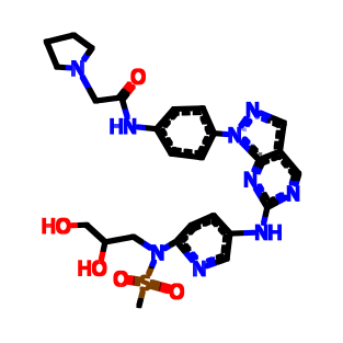 CS(=O)(=O)N(CC(O)CO)c1ccc(Nc2ncc3cnn(-c4ccc(NC(=O)CN5CCCC5)cc4)c3n2)cn1